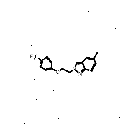 Cc1ccc2nn(CCOc3ccc(C(F)(F)F)cc3)cc2c1